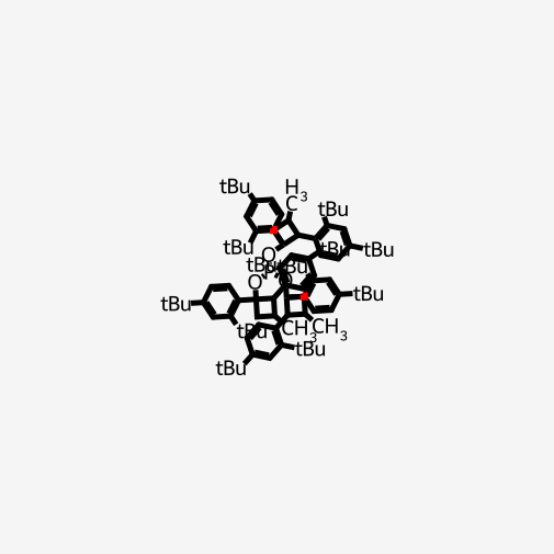 CC1CC(OP(OC2(c3ccc(C(C)(C)C)cc3C(C)(C)C)CC(C)C2c2ccc(C(C)(C)C)cc2C(C)(C)C)OC2(c3ccc(C(C)(C)C)cc3C(C)(C)C)CC(C)C2c2ccc(C(C)(C)C)cc2C(C)(C)C)(c2ccc(C(C)(C)C)cc2C(C)(C)C)C1c1ccc(C(C)(C)C)cc1C(C)(C)C